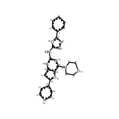 c1ccc(-c2nnc(Nc3nc(N4CCOCC4)c4oc(-c5ccncc5)cc4n3)o2)cc1